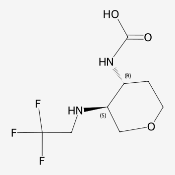 O=C(O)N[C@@H]1CCOC[C@H]1NCC(F)(F)F